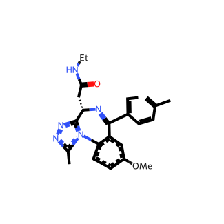 C=C(C)/C=C\C(=C/C)C1=N[C@@H](CC(=O)NCC)c2nnc(C)n2-c2ccc(OC)cc21